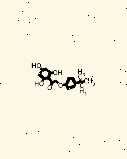 CC(C)(C)c1ccc(OCC(=O)c2c(O)cc(O)cc2O)cc1